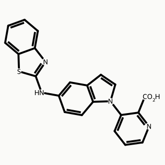 O=C(O)c1ncccc1-n1ccc2cc(Nc3nc4ccccc4s3)ccc21